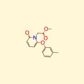 COC(=O)Cn1c(Oc2cccc(C)c2)cccc1=O